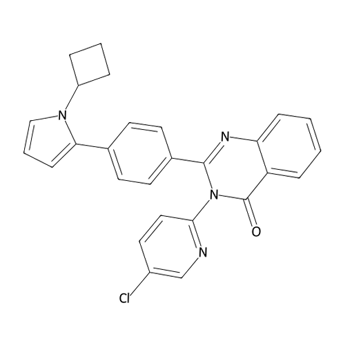 O=c1c2ccccc2nc(-c2ccc(-c3cccn3C3CCC3)cc2)n1-c1ccc(Cl)cn1